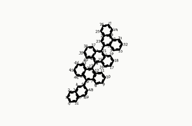 c1ccc2cc(-c3c4ccccc4c(-c4c5ccccc5c(-c5cc6ccccc6c6ccccc56)c5ccccc45)c4ccccc34)ccc2c1